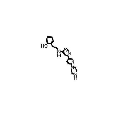 Oc1ccccc1CCNc1cc(-c2ccc(N3CCNCC3)nc2)ncn1